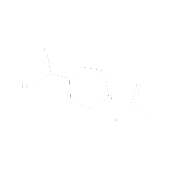 CS(=O)(=O)N1CCC(C(O)C(F)(F)F)CC1